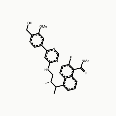 CNC(=O)c1c(F)cnc2c(C(C)[C@H](C)CNc3cc(-c4cnc(CO)c(OC)c4)ncn3)cccc12